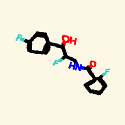 O=C(NCC(F)C(O)c1ccc(F)cc1)c1ccccc1F